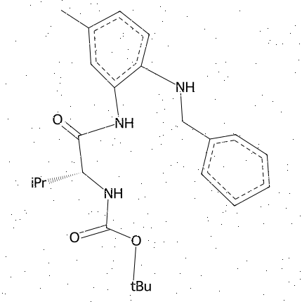 Cc1ccc(NCc2ccccc2)c(NC(=O)[C@H](NC(=O)OC(C)(C)C)C(C)C)c1